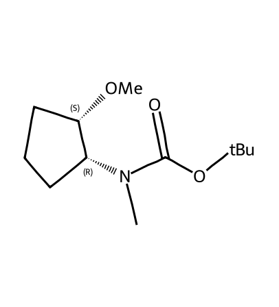 CO[C@H]1CCC[C@H]1N(C)C(=O)OC(C)(C)C